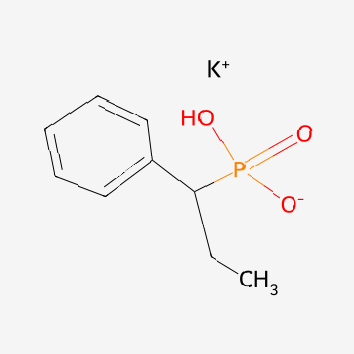 CCC(c1ccccc1)P(=O)([O-])O.[K+]